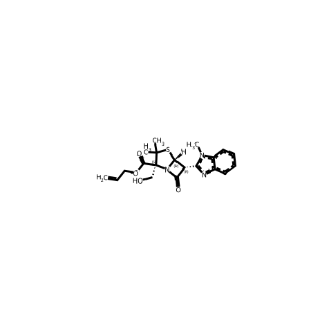 C=CCOC(=O)[C@]1(CO)N2C(=O)[C@@H](c3nc4ccccc4n3C)[C@H]2SC1(C)C